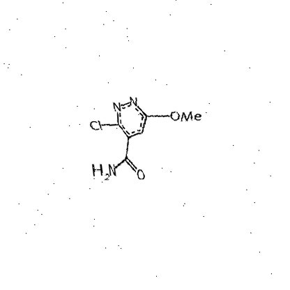 COc1cc(C(N)=O)c(Cl)nn1